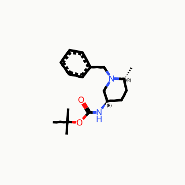 C[C@@H]1CC[C@@H](NC(=O)OC(C)(C)C)CN1Cc1ccccc1